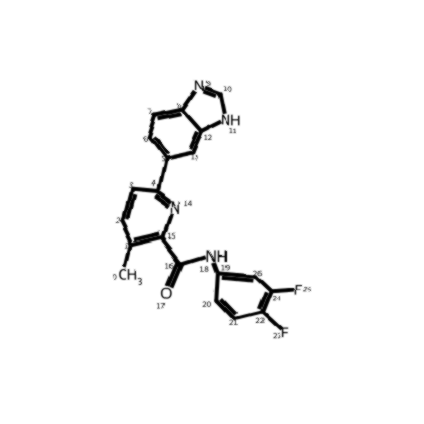 Cc1ccc(-c2ccc3nc[nH]c3c2)nc1C(=O)Nc1ccc(F)c(F)c1